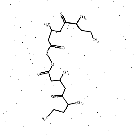 CCCC(C)C(=O)CC(C)CC(=O)OOC(=O)CC(C)CC(=O)C(C)CCC